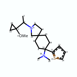 COC1(C(C)N2CCC3(CCC(c4cccs4)(N(C)C)CC3)C2)CC1